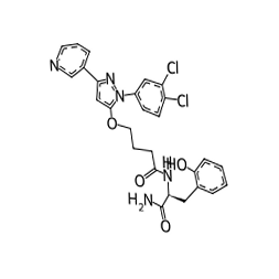 NC(=O)[C@H](Cc1ccccc1O)NC(=O)CCCOc1cc(-c2cccnc2)nn1-c1ccc(Cl)c(Cl)c1